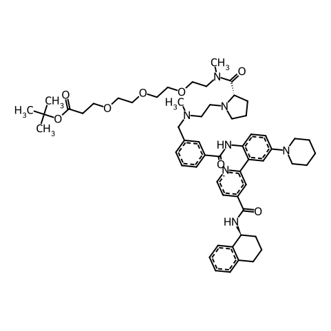 CN(CCN1CCC[C@H]1C(=O)N(C)CCOCCOCCOCCC(=O)OC(C)(C)C)Cc1cccc(C(=O)Nc2ccc(N3CCCCC3)cc2-c2cc(C(=O)N[C@H]3CCCc4ccccc43)ccn2)c1